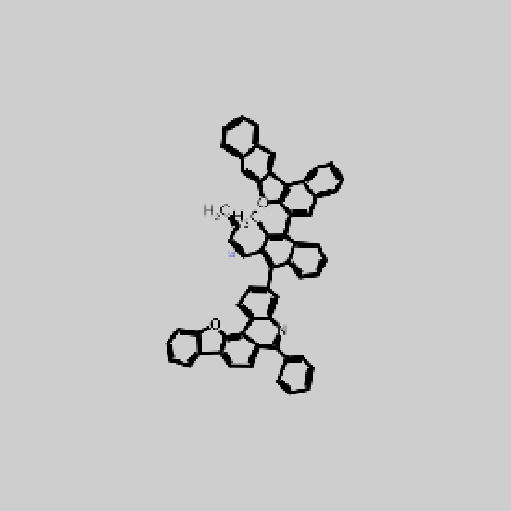 C=C/C=C\c1c(C)c(-c2cc3ccccc3c3c2oc2cc4ccccc4cc23)c2ccccc2c1-c1ccc2c(c1)nc(-c1ccccc1)c1ccc3c4ccccc4oc3c12